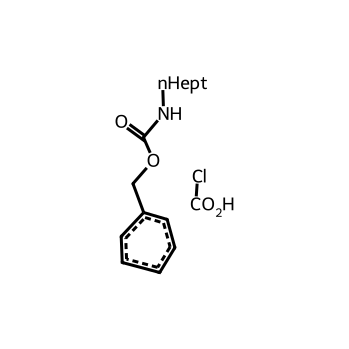 CCCCCCCNC(=O)OCc1ccccc1.O=C(O)Cl